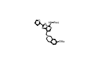 CCCC(C)Nc1ncc(CN2CCc3ccc(OC)cc3C2)c2nc(-c3ccco3)nn12